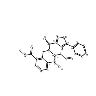 C=CCON(Cc1c(C(=O)OC)cccc1[N+](=O)[O-])C(=O)c1csc(-c2ccncc2)n1